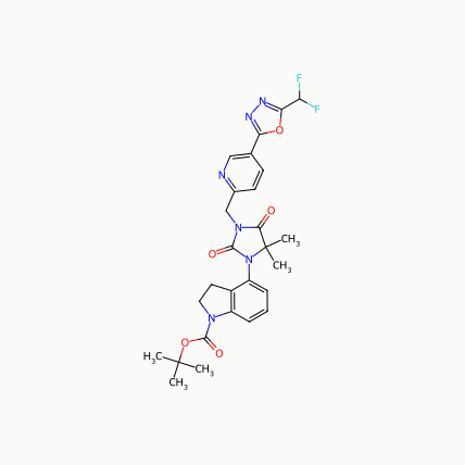 CC(C)(C)OC(=O)N1CCc2c1cccc2N1C(=O)N(Cc2ccc(-c3nnc(C(F)F)o3)cn2)C(=O)C1(C)C